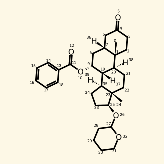 C[C@]12CCC(=O)C[C@H]1C[C@@H](OC(=O)c1ccccc1)[C@@H]1[C@@H]2CC[C@]2(C)[C@@H](OC3CCCCO3)CC[C@@H]12